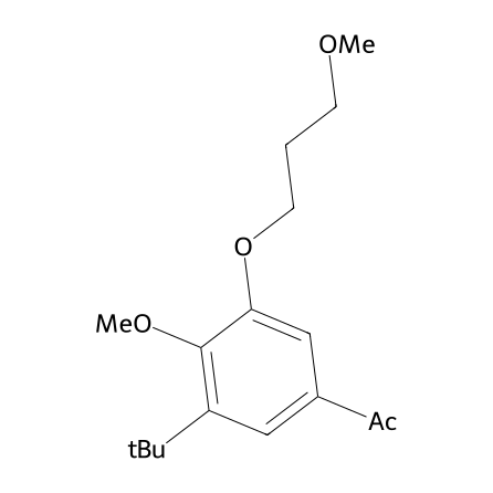 COCCCOc1cc(C(C)=O)cc(C(C)(C)C)c1OC